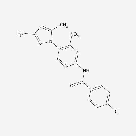 Cc1cc(C(F)(F)F)nn1-c1ccc(NC(=O)c2ccc(Cl)cc2)cc1[N+](=O)[O-]